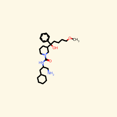 COCCCCC(O)(c1ccccc1)C1CCCN(C(=O)NC(CN)CC2CCCCC2)C1